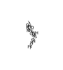 CC#CCn1c(=O)c2c(ncn2[C@@H](C)C(=O)Nc2csc(-c3ccc(N4CC5C(C4)C5(F)F)nc3)n2)n(C)c1=O